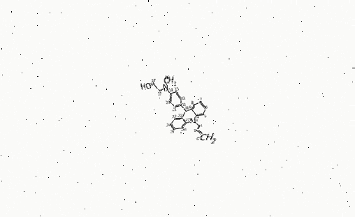 C=CCN1c2ccccc2C(c2ccc(N(C)CCO)cc2)c2ccccc21